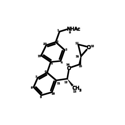 CC(=O)NCc1ccc(-c2ccccc2[C@@H](C)OC[C@H]2CO2)cc1